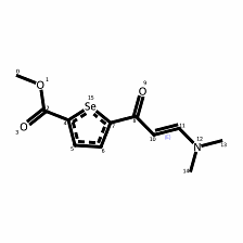 COC(=O)c1ccc(C(=O)/C=C/N(C)C)[se]1